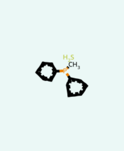 CP(c1ccccc1)c1ccccc1.S